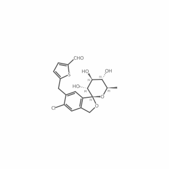 C[C@H]1O[C@]2(OCc3cc(Cl)c(Cc4ccc(C=O)s4)cc32)[C@H](O)[C@@H](O)[C@@H]1O